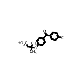 CC(C)(CC(=O)O)Oc1ccc(C(=O)c2ccc(Cl)cc2)cc1